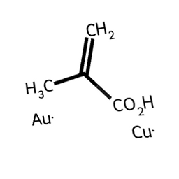 C=C(C)C(=O)O.[Au].[Cu]